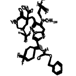 CN(CC(F)(F)F)c1cc2nc([C@@H](NC(=O)OCc3ccccc3)C3CCC(F)(F)CC3)cn2nc1CC1(C(=O)O)C[C@@H](C(F)(F)F)CNC1=O